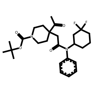 CC(=O)C1(CC(=O)N(c2ccccc2)C2CCCC(F)(F)C2)CCN(C(=O)OC(C)(C)C)CC1